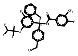 NCc1ccc([C@@](Cc2ccccc2)(NC(=O)c2ccc(F)c(C(F)(F)F)c2)c2cc(F)cc(OC(F)(F)C(F)F)c2)cc1